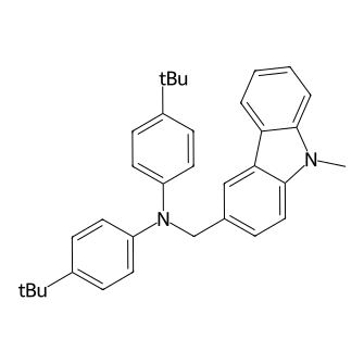 Cn1c2ccccc2c2cc(CN(c3ccc(C(C)(C)C)cc3)c3ccc(C(C)(C)C)cc3)ccc21